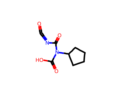 O=C=NC(=O)N(C(=O)O)C1CCCC1